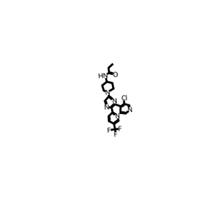 CCC(=O)NC1CCN(c2cnc(-c3ccc(C(F)(F)F)cn3)c(-c3ccncc3Cl)n2)CC1